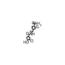 COc1cc(C=NNC(=O)c2ccc(O)c(Cl)c2)ccc1C(N)=O